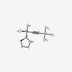 C[C@@](O)(C#C[Si](C)(C)C)[C@@H]1CCCN1